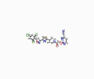 N#Cc1ccnc(OCC(=O)N2CCC(c3nc(C4=NOC(c5c(Cl)cc(Cl)cc5Cl)C4)cs3)CC2)n1